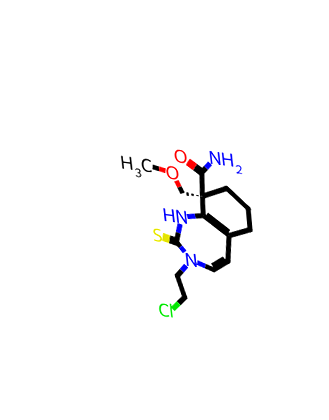 COC[C@]1(C(N)=O)CCCC2=C1NC(=S)N(CCCl)C=C2